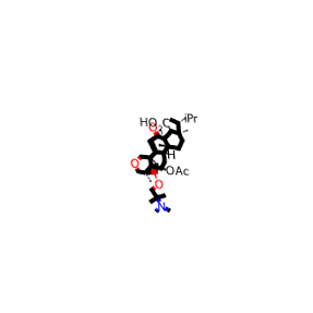 CC(=O)O[C@@H]1C[C@@]23COC[C@@](C)([C@@H]2CC[C@H]2C3=CC(=O)[C@@]3(C)[C@H](C(=O)O)[C@@](C)([C@H](C)C(C)C)CC[C@]23C)[C@H]1OCC(C)(C)N(C)C